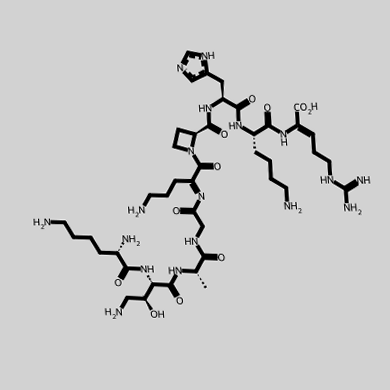 C[C@H](NC(=O)[C@@H](NC(=O)[C@@H](N)CCCCN)[C@@H](O)CN)C(=O)NCC(=O)/N=C(\CCCN)C(=O)N1CC[C@H]1C(=O)N[C@@H](Cc1cnc[nH]1)C(=O)N[C@@H](CCCCN)C(=O)N/C(=C\CCNC(=N)N)C(=O)O